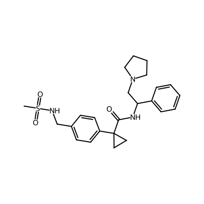 CS(=O)(=O)NCc1ccc(C2(C(=O)NC(CN3CCCC3)c3ccccc3)CC2)cc1